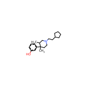 CC1CN(CCC2CCCC2)CCC1(C)c1cccc(O)c1